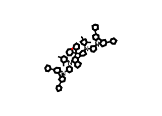 Cc1ccc(N(c2cccc(-n3c4ccc(-c5ccccc5)cc4c4cc(-c5ccccc5)ccc43)c2)c2ccc3c(c2)C(c2ccccc2)(c2ccccc2)c2cc(N(c4cccc(-n5c6ccc(-c7ccccc7)cc6c6cc(-c7ccccc7)ccc65)c4)c4ccc(C)cc4C)c4ccccc4c2-3)c(C)c1